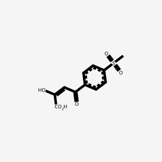 CS(=O)(=O)c1ccc(C(=O)/C=C(/O)C(=O)O)cc1